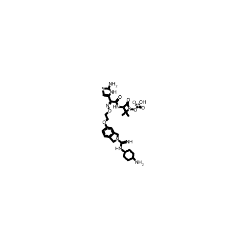 CC1(C)C(NC(=O)/C(=N\OCCOc2ccc3c(c2)CN(C(=N)NC2CCC(N)CC2)C3)C2=CSC(N)N2)C(=O)N1OS(=O)(=O)O